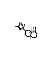 Cc1cc(C2=CC[C@@H]3CCCN[C@@H]3C2)on1